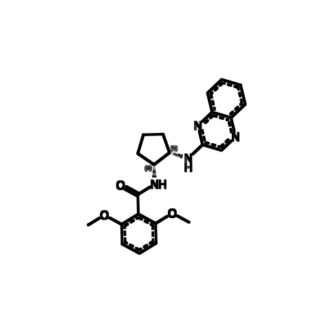 COc1cccc(OC)c1C(=O)N[C@@H]1CCC[C@@H]1Nc1cnc2ccccc2n1